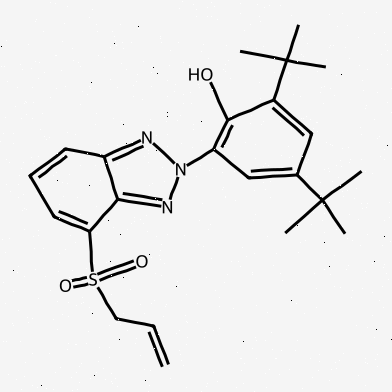 C=CCS(=O)(=O)c1cccc2nn(-c3cc(C(C)(C)C)cc(C(C)(C)C)c3O)nc12